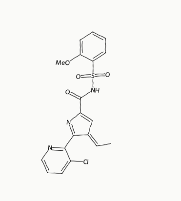 C/C=C1\C=C(C(=O)NS(=O)(=O)c2ccccc2OC)N=C1c1ncccc1Cl